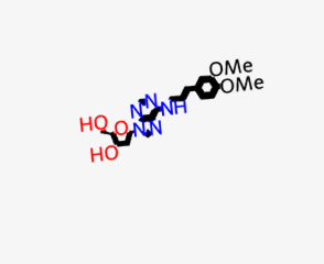 COc1ccc(/C=C/CNc2ncnc3c2ncn3[C@H]2CC(O)[C@@H](CO)O2)cc1OC